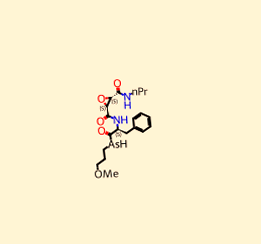 CCCNC(=O)[C@H]1O[C@@H]1C(=O)N[C@@H](Cc1ccccc1)C(=O)[AsH]CCCOC